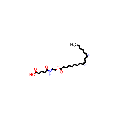 CCCCC/C=C\C/C=C\CCCCCCCC(=O)OCCNC(=O)CCCC(=O)O